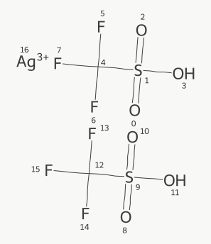 O=S(=O)(O)C(F)(F)F.O=S(=O)(O)C(F)(F)F.[Ag+3]